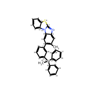 Cc1cc2nc3sc4ccccc4n3c2cc1-c1cccc([Si](C)(c2ccccc2)c2ccccc2)c1